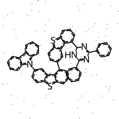 c1ccc(C2=NC(c3cccc4sc5ccc(-c6cccc7sc8ccc(-n9c%10ccccc%10c%10ccccc%109)cc8c67)cc5c34)NC(c3ccccc3)=N2)cc1